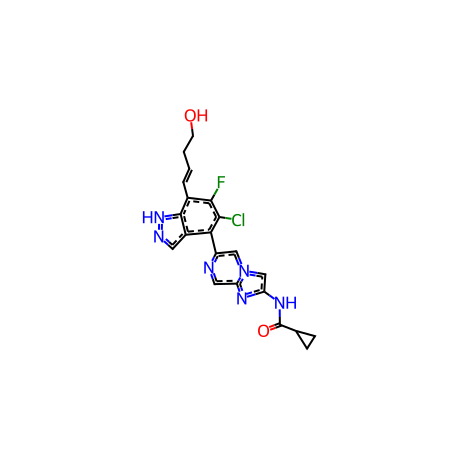 O=C(Nc1cn2cc(-c3c(Cl)c(F)c(/C=C/CCO)c4[nH]ncc34)ncc2n1)C1CC1